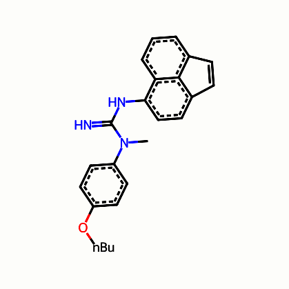 CCCCOc1ccc(N(C)C(=N)Nc2ccc3c4c(cccc24)C=C3)cc1